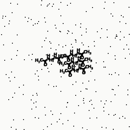 CC(=O)[NH][Hf][NH]C(C)=O.CC(=O)[NH][Hf][NH]C(C)=O.CC(=O)[NH][Hf][NH]C(C)=O.CC(=O)[NH][Hf][NH]C(C)=O